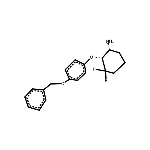 N[C@@H]1CCCC(F)(F)[C@@H]1Oc1ccc(OCc2ccccc2)cc1